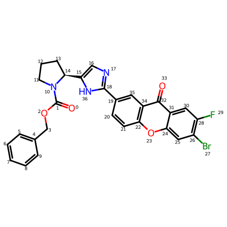 O=C(OCc1ccccc1)N1CCC[C@H]1c1cnc(-c2ccc3oc4cc(Br)c(F)cc4c(=O)c3c2)[nH]1